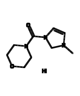 CN1C=CN(C(=O)N2CCOCC2)C1.I